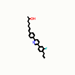 C=CCc1ccc(-c2ccc(-c3ccc(C=CCCCC(C)O)cc3)nc2)cc1F